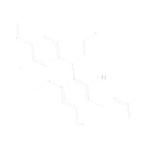 COc1ccc(/C(=C\C=O)c2c(OC)cc(O)c(CC=C(C)C)c2O)cc1F